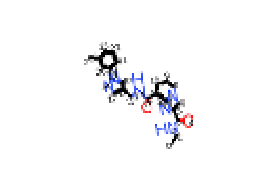 CCNC(=O)c1cn2cccc(C(=O)NCc3cnn(-c4cccc(C)c4)c3)c2n1